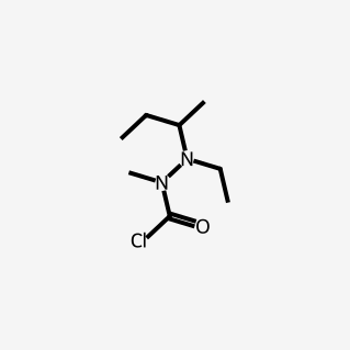 CCC(C)N(CC)N(C)C(=O)Cl